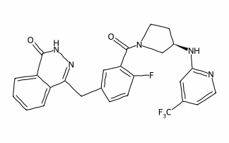 O=C(c1cc(Cc2n[nH]c(=O)c3ccccc23)ccc1F)N1CC[C@@H](Nc2cc(C(F)(F)F)ccn2)C1